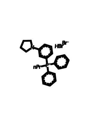 Br.CCC[P+](c1ccccc1)(c1ccccc1)c1cccc(N2CCCC2)c1.[Br-]